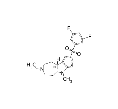 CCN1CCC2[C@H](CC1)c1cc(S(=O)(=O)c3cc(F)cc(F)c3)ccc1N2C